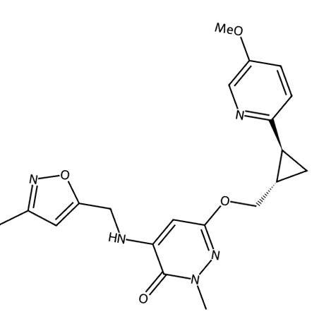 COc1ccc([C@H]2C[C@@H]2COc2cc(NCc3cc(C)no3)c(=O)n(C)n2)nc1